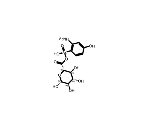 CC(=O)Nc1cc(O)ccc1[As](=O)(O)OC(=O)[C@H]1O[C@@H](O)[C@H](O)[C@@H](O)[C@@H]1O